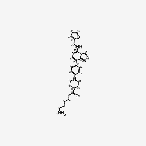 NCCCCCC(=O)N1CCN(c2ccc(-c3cnc(NCc4ccco4)n4cnnc34)cc2)CC1